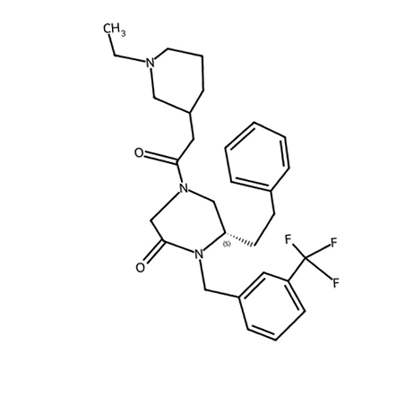 CCN1CCCC(CC(=O)N2CC(=O)N(Cc3cccc(C(F)(F)F)c3)[C@@H](CCc3ccccc3)C2)C1